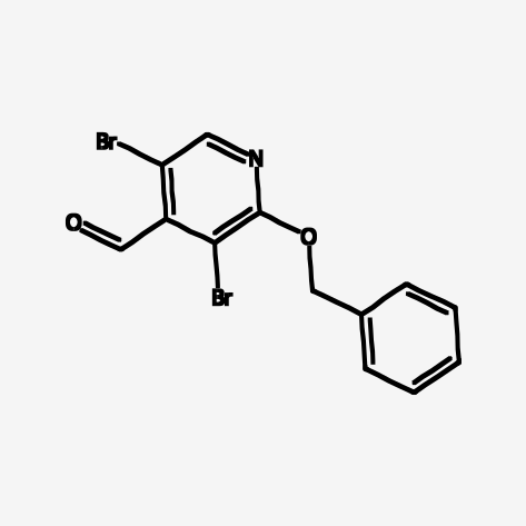 O=Cc1c(Br)cnc(OCc2ccccc2)c1Br